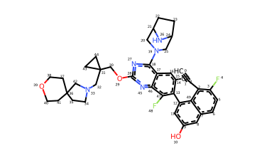 C#Cc1c(F)ccc2cc(O)cc(-c3c(C(F)(F)F)cc4c(N5CC6CCC(C5)N6)nc(OCC5(CN6CCC7(CCOCC7)C6)CC5)nc4c3F)c12